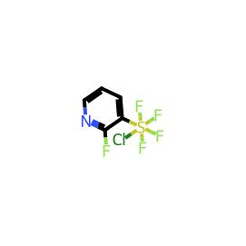 Fc1ncccc1S(F)(F)(F)(F)Cl